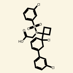 O=C(O)CN(C1(C2(Cl)C=CC=C(c3cccc(Cl)c3)C2)CCC1)S(=O)(=O)c1cccc(Cl)c1